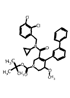 COC1CN(C(=O)OC(C)(C)C)CC(C(=O)N(Cc2cccc(Cl)c2Cl)C2CC2)=C1c1cccc(-c2ccccc2)c1